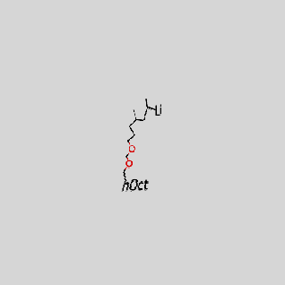 [Li][CH](C)CC(C)CCCOCOCCCCCCCCC